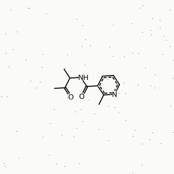 CC(=O)C(C)NC(=O)c1cccnc1C